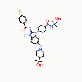 CC(C)(CO)NC(=O)[C@H]1CC[C@@H](n2/c(=N/C(=O)c3ccc(F)cc3)[nH]c3ccc(CN4CCC(C(C)(C)O)CC4)cc32)CC1